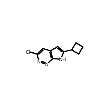 Clc1cc2cc(C3CCC3)[nH]c2nn1